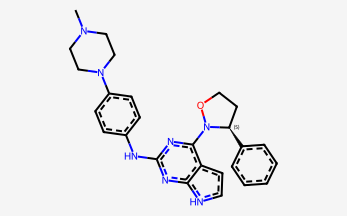 CN1CCN(c2ccc(Nc3nc(N4OCC[C@H]4c4ccccc4)c4cc[nH]c4n3)cc2)CC1